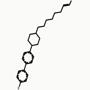 FC=CCCCCCCC1CCC(c2ccc(-c3ccc(F)cc3)cc2)CC1